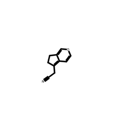 N#CCC1=C2C=COC=C2CC1